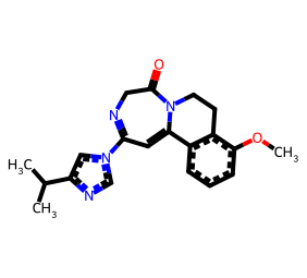 COc1cccc2c1CCN1C(=O)CN=C(n3cnc(C(C)C)c3)C=C21